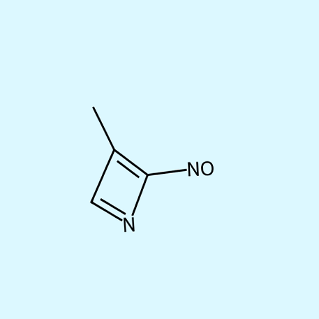 CC1=C(N=O)N=C1